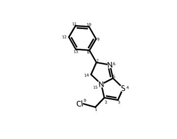 ClCC1=CSC2=NC(c3ccccc3)CN12